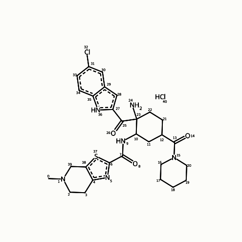 CN1CCc2nc(C(=O)NC3CC(C(=O)N4CCCCC4)CCC3(N)C(=O)c3cc4cc(Cl)ccc4[nH]3)sc2C1.Cl